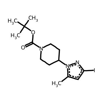 Cc1cc(I)nn1C1CCN(C(=O)OC(C)(C)C)CC1